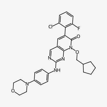 O=c1c(-c2c(F)cccc2Cl)cc2cnc(Nc3ccc(N4CCOCC4)cc3)nc2n1OCC1CCCC1